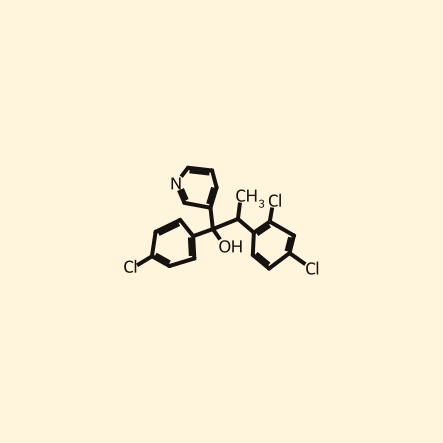 CC(c1ccc(Cl)cc1Cl)C(O)(c1ccc(Cl)cc1)c1cccnc1